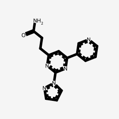 NC(=O)CCc1cc(-c2cccnc2)nc(-n2cccn2)n1